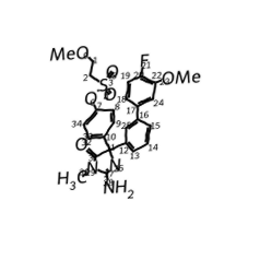 COCCS(=O)(=O)Oc1ccc(C2(c3cccc(-c4ccc(F)c(OC)c4)c3)N=C(N)N(C)C2=O)cc1